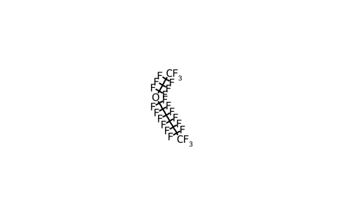 FC(F)(F)C(F)(F)C(F)(F)C(F)(F)OC(F)(F)C(F)(F)C(F)(F)C(F)(F)C(F)(F)C(F)(F)C(F)(F)F